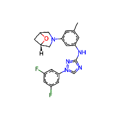 Cc1cc(Nc2ncn(-c3cc(F)cc(F)c3)n2)cc(N2CC3C[C@@H](C2)O3)c1